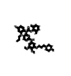 CCCOc1cc(F)ccc1N(C(=O)Oc1c(C)cccc1C)c1ccnc(Nc2cc(OC)c(OC)c(OCCCN3CCN(C)CC3)c2)n1